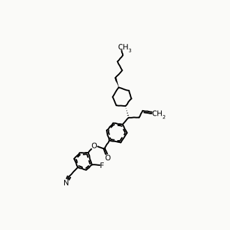 C=CCC(c1ccc(C(=O)Oc2ccc(C#N)cc2F)cc1)[C@H]1CC[C@H](CCCCC)CC1